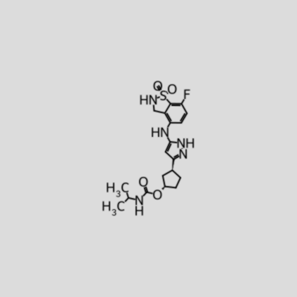 CC(C)NC(=O)O[C@@H]1CC[C@H](c2cc(Nc3ccc(F)c4c3CNS4(=O)=O)[nH]n2)C1